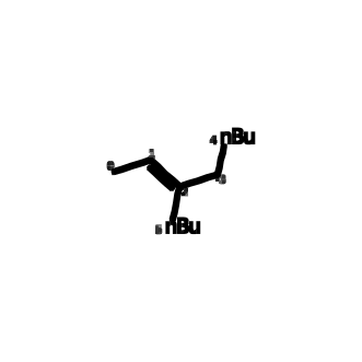 CC=C([CH]CCCC)CCCC